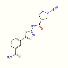 N#CN1CC[C@H](C(=O)Nc2ncc(-c3cccc(C(N)=O)c3)s2)C1